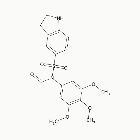 COc1cc(N(C=O)S(=O)(=O)c2ccc3c(c2)CCN3)cc(OC)c1OC